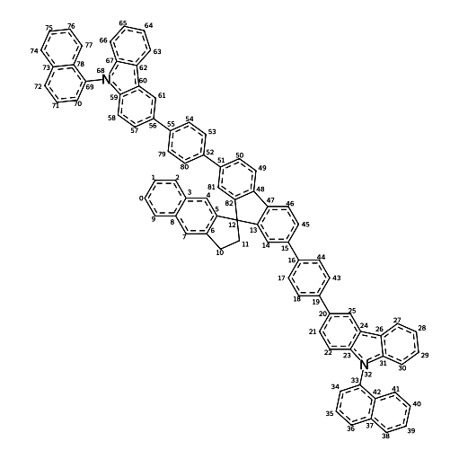 c1ccc2cc3c(cc2c1)CCC31c2cc(-c3ccc(-c4ccc5c(c4)c4ccccc4n5-c4cccc5ccccc45)cc3)ccc2-c2ccc(-c3ccc(-c4ccc5c(c4)c4ccccc4n5-c4cccc5ccccc45)cc3)cc21